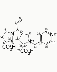 C=CCN1CCC[C@@]1(C(=O)O)C1CCN(Cc2ccncc2)[C@@H]1C(=O)O